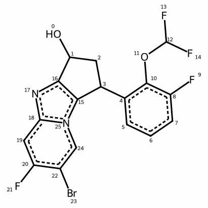 OC1CC(c2cccc(F)c2OC(F)F)c2c1nc1cc(F)c(Br)cn21